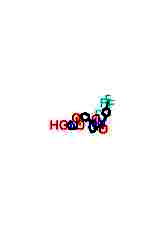 O=C(NCc1ccc(C(F)(F)F)cc1F)[C@H]1CCCN1C(=O)c1cccc(S(=O)(=O)N2CCC(O)C2)c1